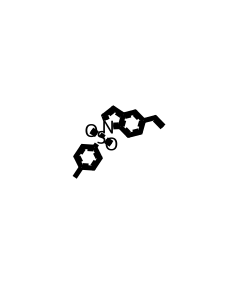 C=Cc1ccc2c(ccn2S(=O)(=O)c2ccc(C)cc2)c1